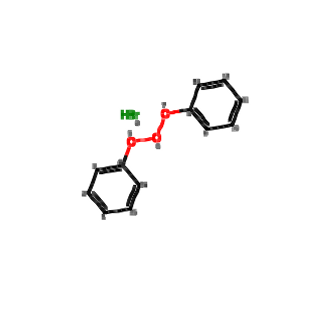 Br.c1ccc(OOOc2ccccc2)cc1